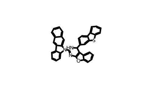 c1ccc2cc3c(cc2c1)c1ccccc1n3C1=Nc2oc3ccccc3c2C(c2ccc3c(c2)sc2ccccc23)N1